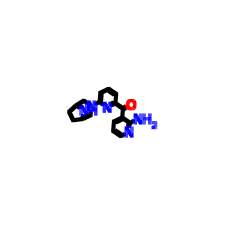 Nc1ncccc1C(=O)c1cccc(N2CC3CCC(C2)N3)n1